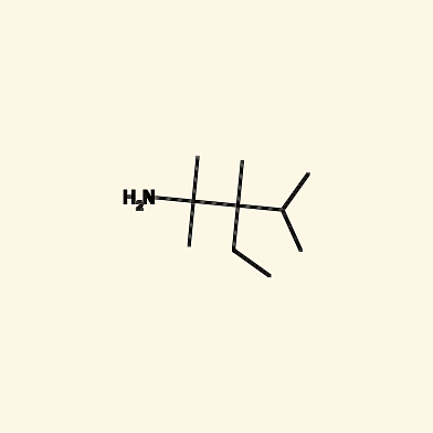 CCC(C)(C(C)C)C(C)(C)N